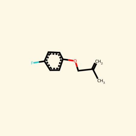 C=C(C)COc1ccc(F)cc1